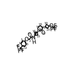 O=C(COc1ccc(C(F)(F)F)cc1)NC12CC(N3CCC([C@H]4C[C@@H](OC(F)(F)F)C4)C3=O)(C1)C2